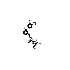 O=C(CP(O)O)N(O)CCCc1cccc(Oc2ccc(Cl)c(Cl)c2)c1